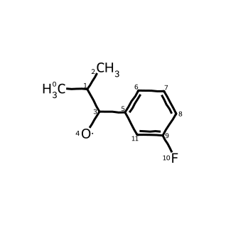 CC(C)C([O])c1cccc(F)c1